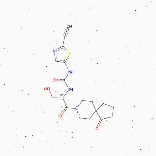 C#Cc1ncc(NC(=O)N[C@@H](CO)C(=O)N2CCC3(CCCC3=O)CC2)s1